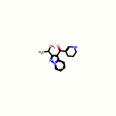 CC(C)c1nn2ccccc2c1C(=O)C1=CNCCC1